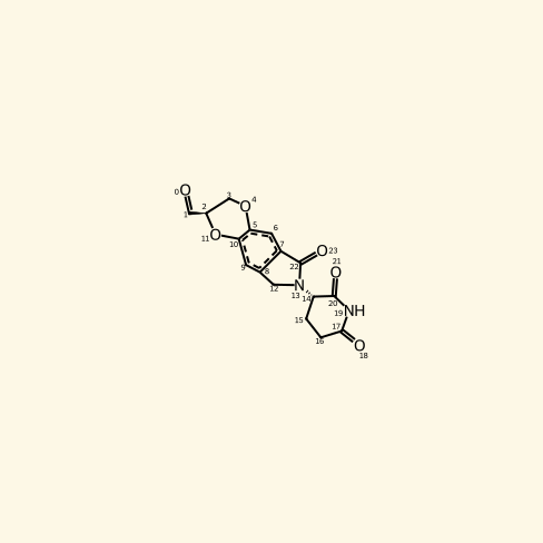 O=C[C@H]1COc2cc3c(cc2O1)CN([C@H]1CCC(=O)NC1=O)C3=O